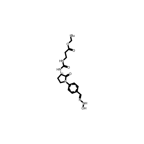 CC(C)(C)COC(=O)CCNC(=O)N[C@H]1CCN(c2ccc(C=NNO)cc2)C1=O